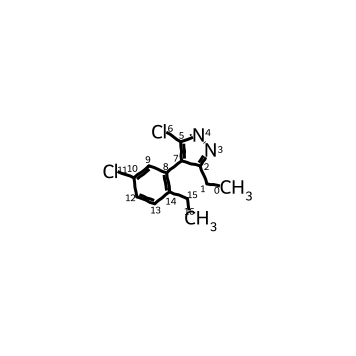 CCC1=N[N]C(Cl)=C1c1cc(Cl)ccc1CC